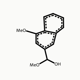 COc1cc(C(O)OC)cc2ccccc12